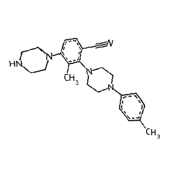 Cc1ccc(N2CCN(c3c(C#N)ccc(N4CCNCC4)c3C)CC2)cc1